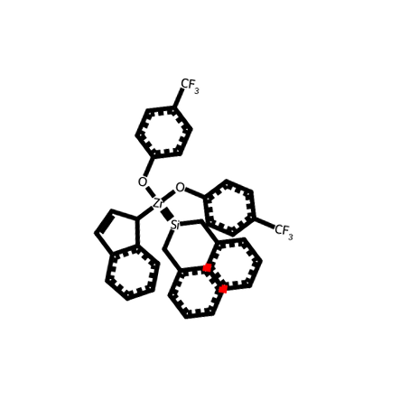 FC(F)(F)c1ccc([O][Zr]([O]c2ccc(C(F)(F)F)cc2)([CH]2C=Cc3ccccc32)=[Si](Cc2ccccc2)Cc2ccccc2)cc1